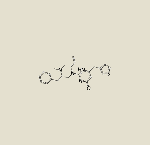 C=CCN(C[C@H](Cc1ccccc1)N(C)C)c1nc(=O)cc(Cc2ccsc2)[nH]1